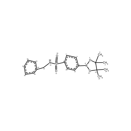 CC1(C)OB(c2ccc(S(=O)(=O)NCc3ccccc3)cc2)OC1(C)C